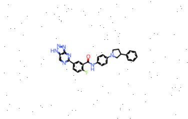 O=C(Nc1ccc(N2CCC(c3ccccc3)C2)cc1)c1cc(-c2ncc3[nH]nnc3n2)ccc1F